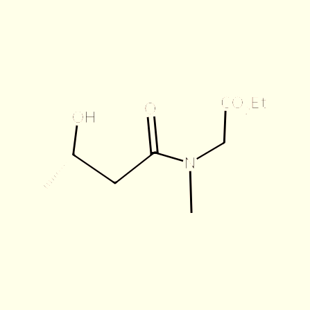 CCOC(=O)CN(C)C(=O)C[C@H](C)O